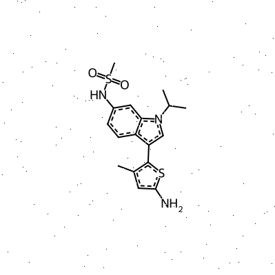 Cc1cc(N)sc1-c1cn(C(C)C)c2cc(NS(C)(=O)=O)ccc12